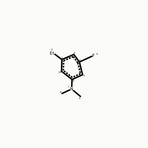 CCc1cc(F)cc(N(C)C)c1